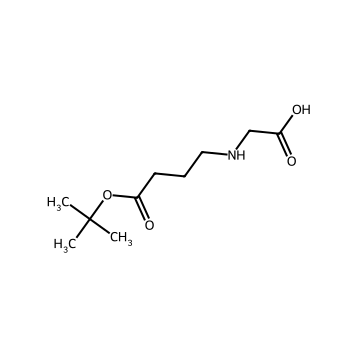 CC(C)(C)OC(=O)CCCNCC(=O)O